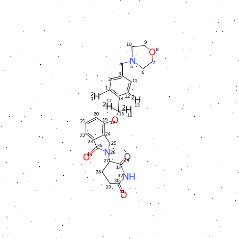 [2H]c1cc(CN2CCOCC2)cc([2H])c1C([2H])([2H])Oc1cccc2c1CN(C1CCC(=O)NC1=O)C2=O